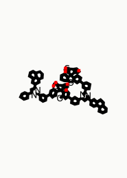 C1=Cc2cc(-c3cc(-c4ccccc4)nc(-c4cccc(-c5ccc6c(c5)Oc5cc(-c7cccc(-c8cc(-c9ccc%10c(ccc%11ccccc%11%10)c9)nc(-c9cccc(-c%10ccc%11c(c%10)Oc%10ccccc%10C%11%10c%11ccccc%11-c%11ccccc%11%10)c9)n8)c7)ccc5C65c6ccccc6-c6ccccc65)c4)n3)cc3cccc(c23)C1